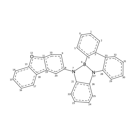 c1ccc2c(c1)B1N(c3ccc4oc5ccccc5c4c3)c3ccccc3N1c1ccccc1-2